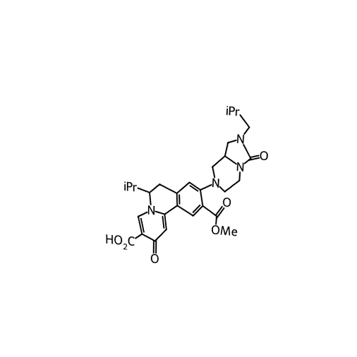 COC(=O)c1cc2c(cc1N1CCN3C(=O)N(CC(C)C)CC3C1)CC(C(C)C)n1cc(C(=O)O)c(=O)cc1-2